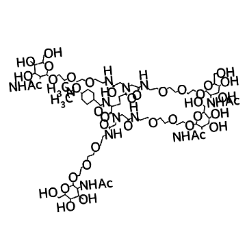 CC(=O)NC1C(OCCOCCOCCNC(=O)CN(CC(=O)NCCOCCOCCOC2OC(CO)C(O)C(O)C2NC(C)=O)C(=O)CCC(NC(=O)C2CCC(ON(C)C)CC2)C(=O)N(CC(=O)NCCOCCOCCOC2OC(CO)C(O)C(O)C2NC(C)=O)CC(=O)NCCOCCOCCOC2OC(CO)C(O)C(O)C2NC(C)=O)OC(CO)C(O)C1O